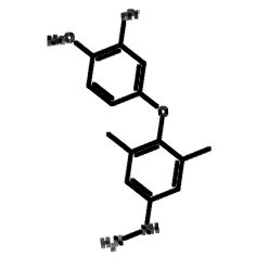 CCCc1cc(Oc2c(C)cc(NN)cc2C)ccc1OC